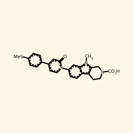 CSc1ccc(-c2ccn(-c3ccc4c5c(n(C)c4c3)CN(C(=O)O)CC5)c(=O)c2)cc1